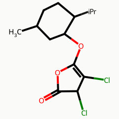 CC1CCC(C(C)C)C(OC2=C(Cl)C(Cl)C(=O)O2)C1